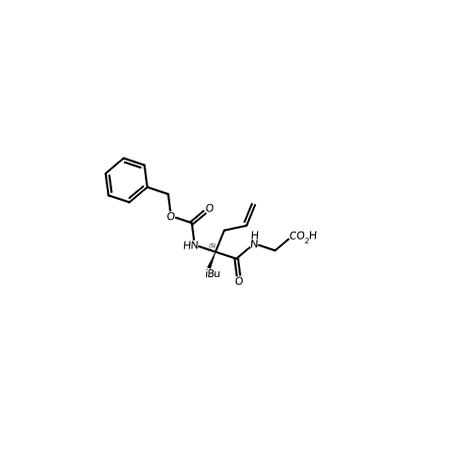 C=CC[C@@](NC(=O)OCc1ccccc1)(C(=O)NCC(=O)O)C(C)CC